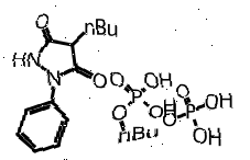 CCCCC1C(=O)NN(c2ccccc2)C1=O.CCCCOP(=O)(O)O.O=P(O)(O)O